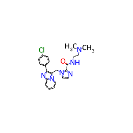 CN(C)CCNC(=O)c1nccn1Cc1c(-c2ccc(Cl)cc2)nc2ccccn12